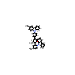 N#Cc1ccc(-n2c3ccccc3c3ccccc32)c(-c2ccc(-c3ccc(-n4c5ccccc5c5cc(C#N)ccc54)cc3)cc2C#N)c1